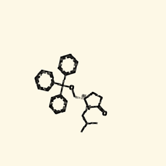 CC(C)CN1C(=O)CC[C@H]1COC(c1ccccc1)(c1ccccc1)c1ccccc1